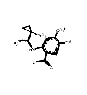 Cc1cc(C(N)=O)c(NC(C)C2(C)CC2)cc1C(=O)O